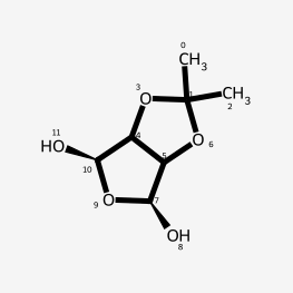 CC1(C)OC2C(O1)[C@@H](O)O[C@H]2O